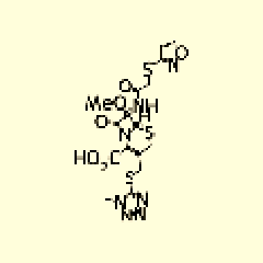 CO[C@@]1(NC(=O)CSc2ccon2)C(=O)N2C(C(=O)O)=C(CSc3nnnn3C)CS[C@H]21